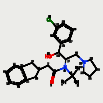 [2H]C([2H])([2H])N(C(=O)CC1Cc2ccccc2C1)C(CN1CCCC1)C(O)c1cccc(Cl)c1